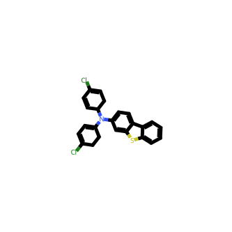 ClC1=CCC(N(C2=CC=C(Cl)CC2)c2ccc3c(c2)sc2ccccc23)C=C1